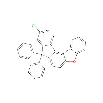 Clc1ccc2c(c1)C(c1ccccc1)(c1ccccc1)c1ccc3oc4ccccc4c3c1-2